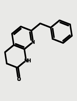 O=C1CCc2ccc(Cc3ccccc3)nc2N1